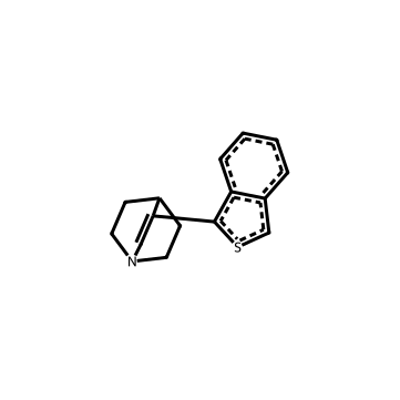 C1=C(c2scc3ccccc23)C2CCN1CC2